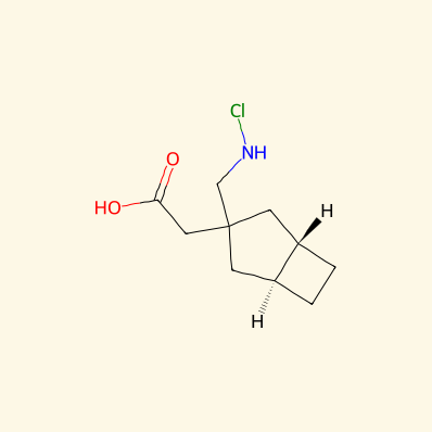 O=C(O)CC1(CNCl)C[C@@H]2CC[C@H]2C1